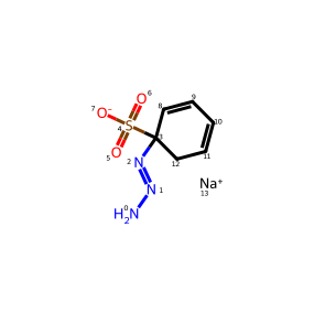 NN=NC1(S(=O)(=O)[O-])C=CC=CC1.[Na+]